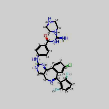 N=C(NC(=O)c1ccc(Nc2ncc3c(n2)-c2ccc(Cl)cc2C(c2c(F)cccc2F)=NC3)cc1)N1CCNCC1